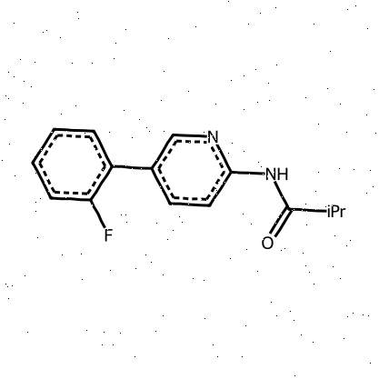 CC(C)C(=O)Nc1ccc(-c2ccccc2F)cn1